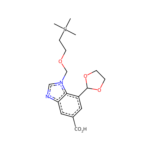 C[Si](C)(C)CCOCn1cnc2cc(C(=O)O)cc(C3OCCO3)c21